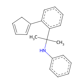 CC(C)(Nc1ccccc1)c1ccccc1C1=CC=CC1